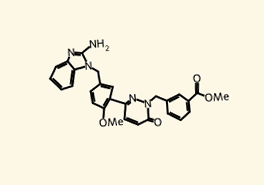 COC(=O)c1cccc(Cn2nc(-c3cc(Cn4c(N)nc5ccccc54)ccc3OC)ccc2=O)c1